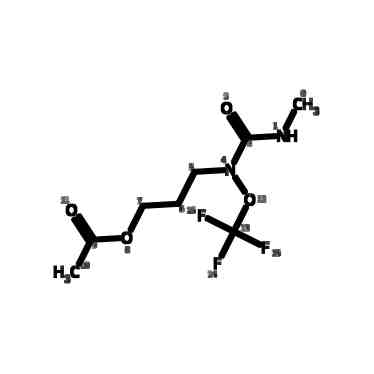 CNC(=O)N(CCCOC(C)=O)OC(F)(F)F